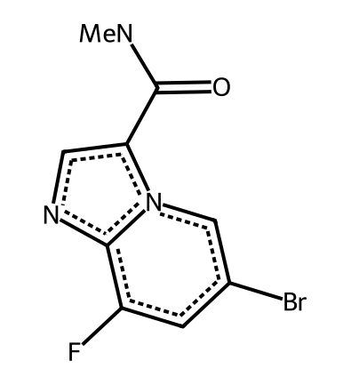 CNC(=O)c1cnc2c(F)cc(Br)cn12